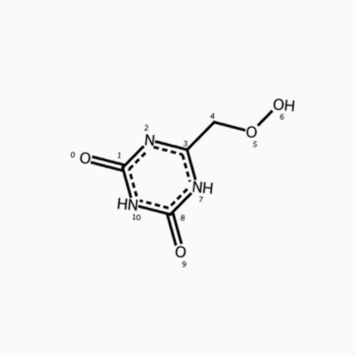 O=c1nc(COO)[nH]c(=O)[nH]1